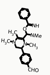 CNC(OC(=N)c1ccccc1)C1=C(C)N(C)CC(c2ccc(C=O)cc2)N1C